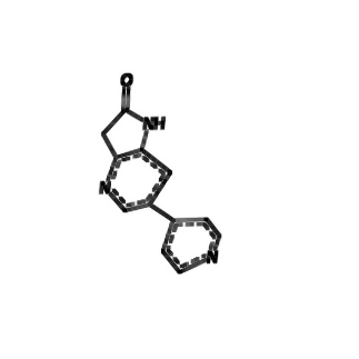 O=C1Cc2ncc(-c3ccncc3)cc2N1